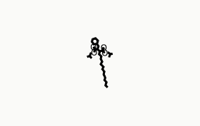 CCCCCCCCCCCCCCC(C(=O)OCC(C)C)C(CC1CCCCC1)C(=O)OCC(C)C